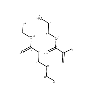 C=C(C)C(=O)OCCO.CCCCCC(=O)OCC